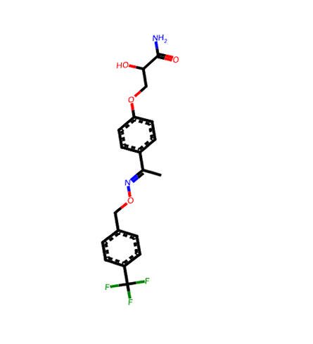 C/C(=N\OCc1ccc(C(F)(F)F)cc1)c1ccc(OCC(O)C(N)=O)cc1